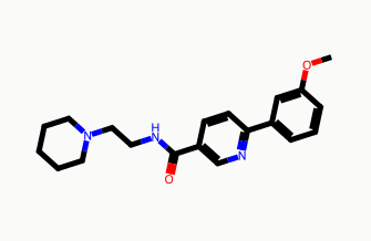 COc1cccc(-c2ccc(C(=O)NCCN3CCCCC3)cn2)c1